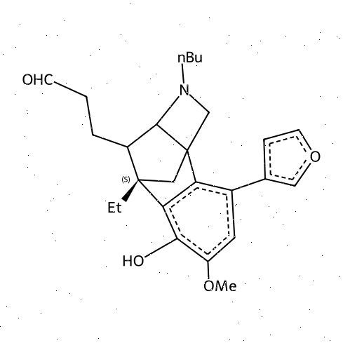 CCCCN1CC23C[C@](CC)(c4c(O)c(OC)cc(-c5ccoc5)c42)C(CCC=O)C13